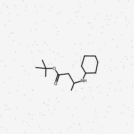 CC(CC(=O)OC(C)(C)C)NC1CCCCC1